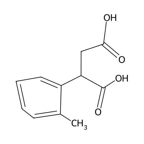 Cc1ccccc1C(CC(=O)O)C(=O)O